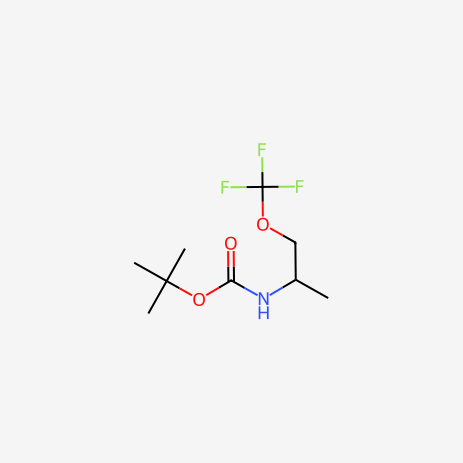 CC(COC(F)(F)F)NC(=O)OC(C)(C)C